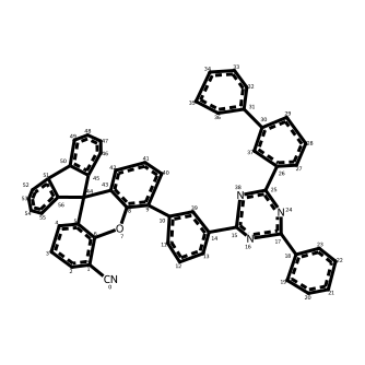 N#Cc1cccc2c1Oc1c(-c3cccc(-c4nc(-c5ccccc5)nc(-c5cccc(-c6ccccc6)c5)n4)c3)cccc1C21c2ccccc2-c2ccccc21